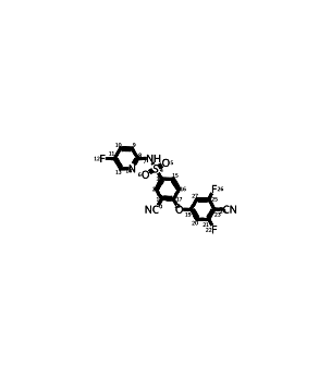 N#Cc1cc(S(=O)(=O)Nc2ccc(F)cn2)ccc1Oc1cc(F)c(C#N)c(F)c1